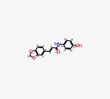 O=C(/C=C/c1ccc2c(c1)OCO2)Nc1ccc(O)cc1